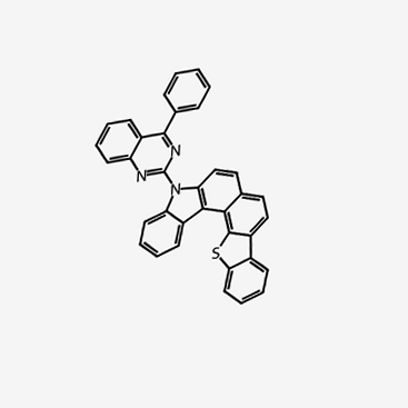 c1ccc(-c2nc(-n3c4ccccc4c4c5c(ccc6c7ccccc7sc65)ccc43)nc3ccccc23)cc1